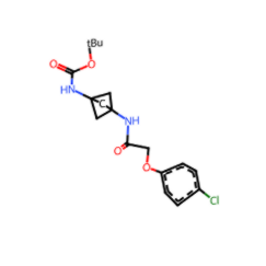 CC(C)(C)OC(=O)NC12CC(NC(=O)COc3ccc(Cl)cc3)(C1)C2